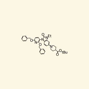 CCn1c(=O)n(-c2ccc(OCc3ccccc3)nc2OCc2ccccc2)c2ccc(N3CCC(C(=O)OC(C)(C)C)CC3)cc21